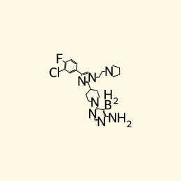 Bc1c(N)ncnc1N1CCC(c2nc(-c3ccc(F)c(Cl)c3)cn2CCN2CCCC2)CC1